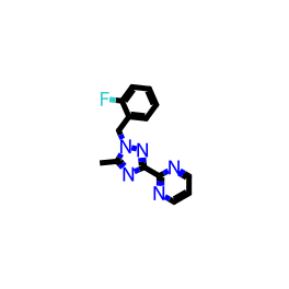 Cc1nc(-c2ncccn2)nn1Cc1ccccc1F